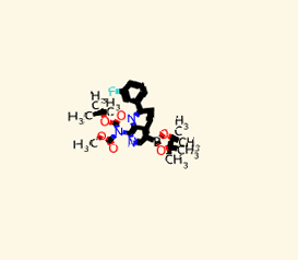 COC(=O)N(C(=O)OC(C)(C)C)c1ncc(B2OC(C)(C)C(C)(C)O2)c2ccc(-c3cccc(F)c3)nc12